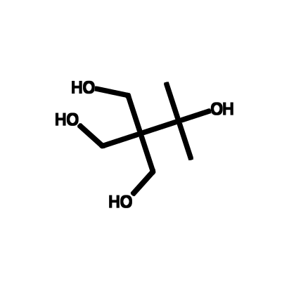 CC(C)(O)C(CO)(CO)CO